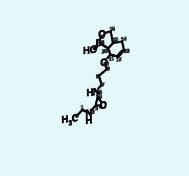 CCNC1OC1NCCCOC1C=CCC2COB(O)C21